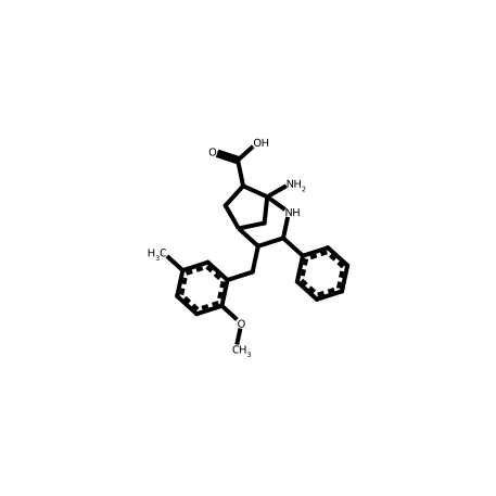 COc1ccc(C)cc1CC1C2CC(C(=O)O)C(N)(C2)NC1c1ccccc1